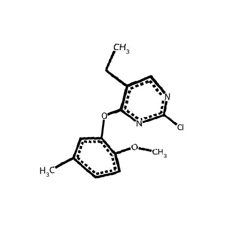 CCc1cnc(Cl)nc1Oc1cc(C)ccc1OC